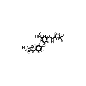 CNc1nc(CNC(=O)OC(C)(C)C)cc(Oc2ccc(CS(N)(=O)=O)cc2)n1